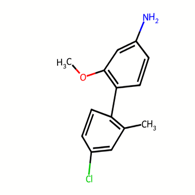 COc1cc(N)ccc1-c1ccc(Cl)cc1C